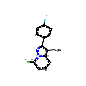 O=Cc1c(-c2ccc(F)cc2)nn2c(Cl)cccc12